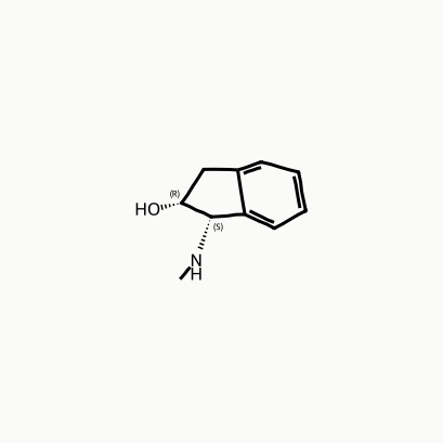 CN[C@H]1c2ccccc2C[C@H]1O